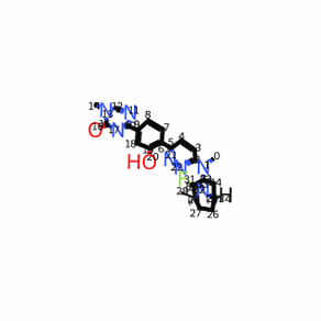 CN(c1ccc(-c2ccc(-c3ncn(C)c(=O)n3)cc2O)nn1)[C@H]1C[C@@H]2CC[C@](C)([C@H]1F)N2C